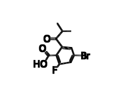 CC(C)C(=O)c1cc(Br)cc(F)c1C(=O)O